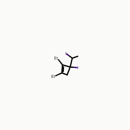 CCC1=C(CC)C(I)(C(C)I)C1